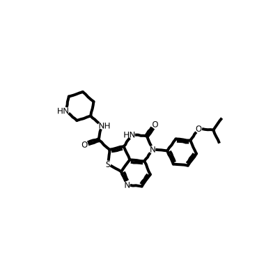 CC(C)Oc1cccc(N2C(=O)Nc3c(C(=O)NC4CCCNC4)sc4nccc2c34)c1